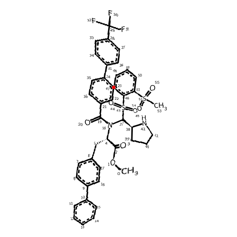 COC(=O)[C@H](Cc1ccc(-c2ccccc2)cc1)N(C(=O)c1ccc(-c2ccc(C(F)(F)F)cc2)cc1)C([C@@H]1CCCN1)S(=O)(=O)c1ccccc1S(C)(=O)=O